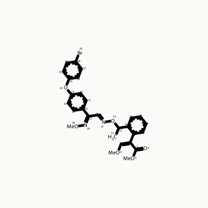 COC=C(C(=O)OC)c1ccccc1C(C)ON=CC(=NOC)c1ccc(Oc2ccc(Br)cc2)cc1